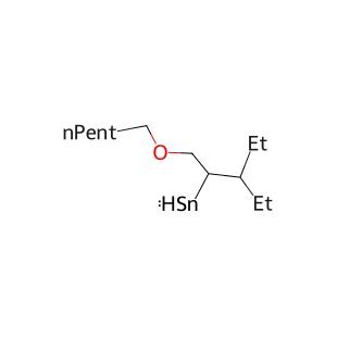 CCCCCCOC[CH]([SnH])C(CC)CC